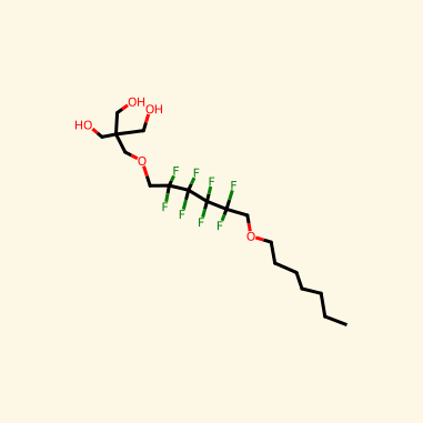 CCCCCCCOCC(F)(F)C(F)(F)C(F)(F)C(F)(F)COCC(CO)(CO)CO